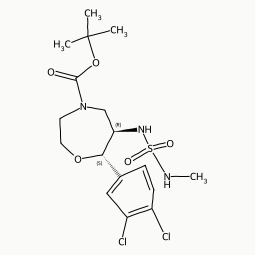 CNS(=O)(=O)N[C@@H]1CN(C(=O)OC(C)(C)C)CCO[C@H]1c1ccc(Cl)c(Cl)c1